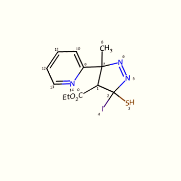 CCOC(=O)C1C(S)(I)N=NC1(C)c1ccccn1